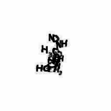 C[C@@]1(O)CC[C@H]2[C@H](CC[C@@H]3[C@@H]2CC[C@]2(C)[C@@H](CNc4cccnc4)CC[C@@H]32)C1